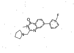 Cn1c(CN2CCCC2)nc2cc(-c3cccc(F)c3)ccc2c1=O